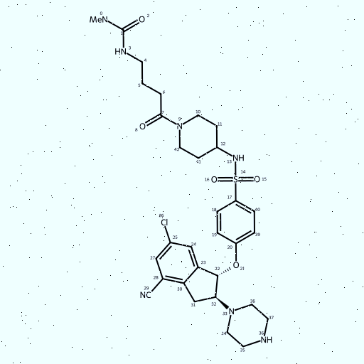 CNC(=O)NCCCC(=O)N1CCC(NS(=O)(=O)c2ccc(O[C@H]3c4cc(Cl)cc(C#N)c4C[C@@H]3N3CCNCC3)cc2)CC1